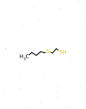 CCCCCSCCS